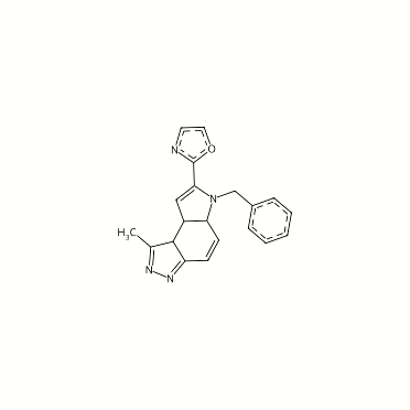 CC1=NN=C2C=CC3C(C=C(c4ncco4)N3Cc3ccccc3)C12